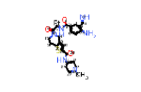 CC[C@@H](NC(=O)c1ccc(N)c(C=N)c1)C(=O)N1CCc2sc(C(=O)NC3CCN(C)CC3)cc2C1